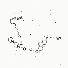 CCCCC/C=C\C/C=C\CCCCCCCCOCC(CN1CCC(N2CCCCC2)CC1)OCCOCCO[C@@]1(C)CC[C@@]2(C)C(=CCC3C4CC[C@](C)(CCCCC(C)C)C4CCC32)C1